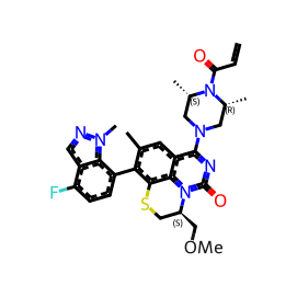 C=CC(=O)N1[C@H](C)CN(c2nc(=O)n3c4c(c(-c5ccc(F)c6cnn(C)c56)c(C)cc24)SC[C@@H]3COC)C[C@@H]1C